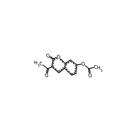 CC(=O)Oc1ccc2cc(C(C)=O)c(=O)oc2c1